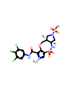 CC(C)S(=O)(=O)N1C[C@@H]2COc3c(cn(C)c3C(=O)Nc3cc(F)c(F)c(F)c3)S(=O)(=O)N[C@@H]2C1